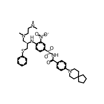 CN(C)CCN(C)C[C@H](CSc1ccccc1)Nc1ccc(S(=O)(=O)NC(=O)c2ccc(N3CCC4(CCCC4)CC3)cc2)cc1[N+](=O)[O-]